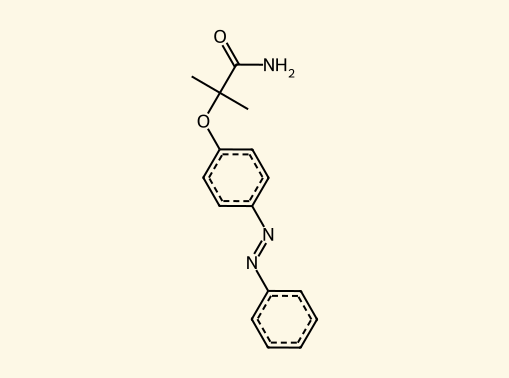 CC(C)(Oc1ccc(N=Nc2ccccc2)cc1)C(N)=O